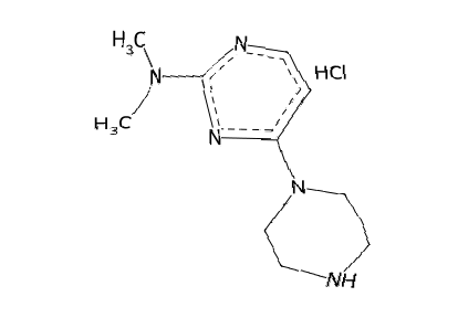 CN(C)c1nccc(N2CCNCC2)n1.Cl